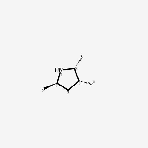 C[C@@H]1C[C@@H](C)[C@@H](C)N1